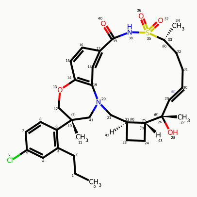 CCCc1cc(Cl)ccc1[C@]1(C)COc2ccc3cc2N(C[C@@H]2CC[C@H]2[C@@](C)(O)/C=C/CC[C@@H](C)S(=O)(=O)NC3=O)C1